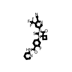 N#Cc1ncc(N2C(=O)C3(CCC3)N(c3ccc(C(=O)Nc4ccccn4)c(F)c3)C2=S)cc1C(F)(F)F